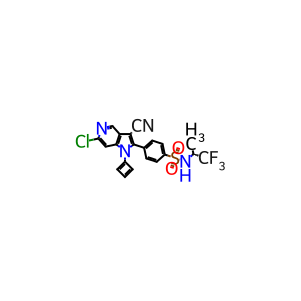 C[C@H](NS(=O)(=O)c1ccc(-c2c(C#N)c3cnc(Cl)cc3n2C2=CC=C2)cc1)C(F)(F)F